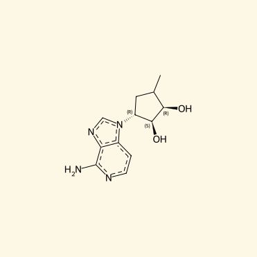 CC1C[C@@H](n2cnc3c(N)nccc32)[C@H](O)[C@@H]1O